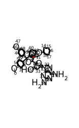 COc1ccc(C(OC(C(=O)COc2ccccc2)[C@H]2O[C@@H](n3cnc4c(N)nc(N)nc43)C[C@@H]2O)(c2ccccc2)c2ccc(OC)cc2)cc1